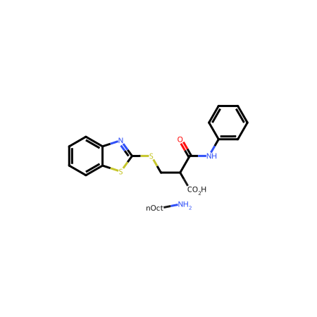 CCCCCCCCN.O=C(O)C(CSc1nc2ccccc2s1)C(=O)Nc1ccccc1